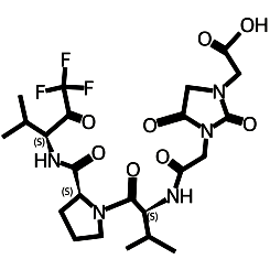 CC(C)[C@H](NC(=O)CN1C(=O)CN(CC(=O)O)C1=O)C(=O)N1CCC[C@H]1C(=O)N[C@H](C(=O)C(F)(F)F)C(C)C